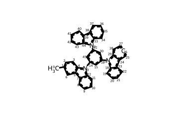 Cc1ccc2c(c1)c1ccccc1n2-c1cc(-n2c3ccccc3c3ccccc32)cc(-n2c3ccccc3c3ccccc32)c1